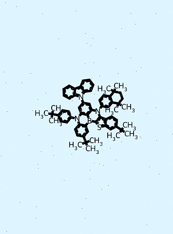 CC(C)(C)c1ccc(N2c3ccc(C(C)(C)C)cc3B3c4sc5cc(C(C)(C)C)ccc5c4N(c4ccc5c(c4)C(C)(C)CCC5(C)C)c4cc(-n5c6ccccc6c6ccccc65)cc2c43)cc1